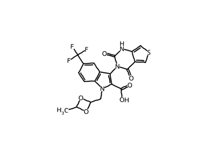 CC1OC(Cn2c(C(=O)O)c(-n3c(=O)[nH]c4cscc4c3=O)c3cc(C(F)(F)F)ccc32)O1